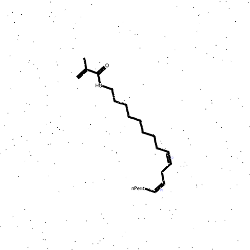 C=C(C)C(=O)NCCCCCCCC/C=C\C/C=C\CCCCC